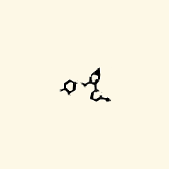 C[C@H]1c2c1c1oc2c(C(=O)Nc2ccc(Cl)c(Cl)c2)c1-c1cccc(C(F)(F)F)n1